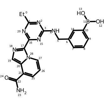 CCc1nc(NCc2cccc(B(O)O)c2)nc(-c2ncc3c(C(N)=O)cccn23)n1